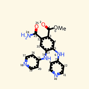 COC(=O)c1cc(Nc2ccncc2)c(Nc2ccncc2)cc1C(N)=O